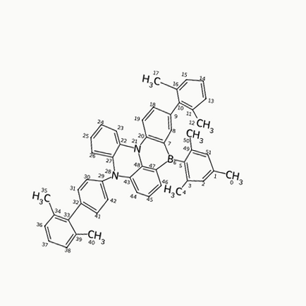 Cc1cc(C)c(B2c3cc(-c4c(C)cccc4C)ccc3N3c4ccccc4N(c4ccc(-c5c(C)cccc5C)cc4)c4cccc2c43)c(C)c1